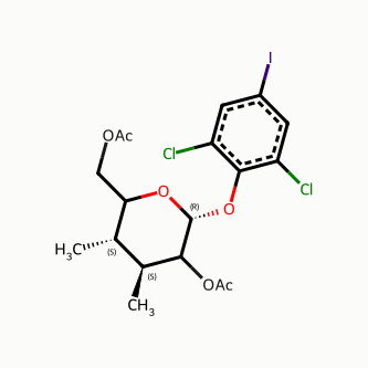 CC(=O)OCC1O[C@H](Oc2c(Cl)cc(I)cc2Cl)C(OC(C)=O)[C@@H](C)[C@@H]1C